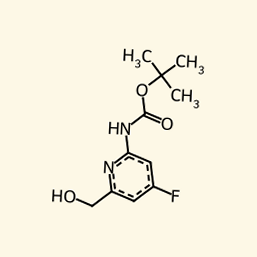 CC(C)(C)OC(=O)Nc1cc(F)cc(CO)n1